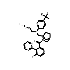 COCCN(CC12CCC(CN1C(=O)c1cccc(F)c1-c1ncccn1)C2)c1ccc(C(F)(F)F)cn1